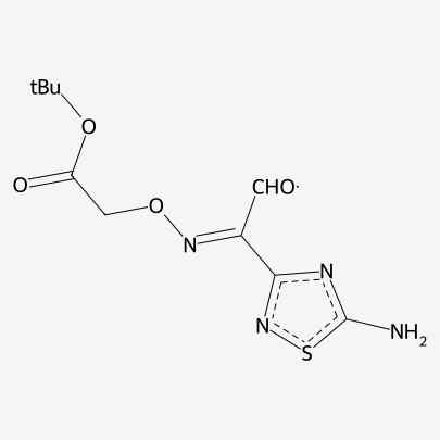 CC(C)(C)OC(=O)CON=C([C]=O)c1nsc(N)n1